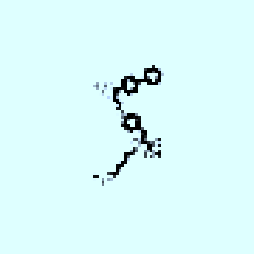 CCCCCCOC(Cc1ccc(OC/C=C(/C)c2ccc(-c3ccccc3)cc2)cc1)C(=O)O